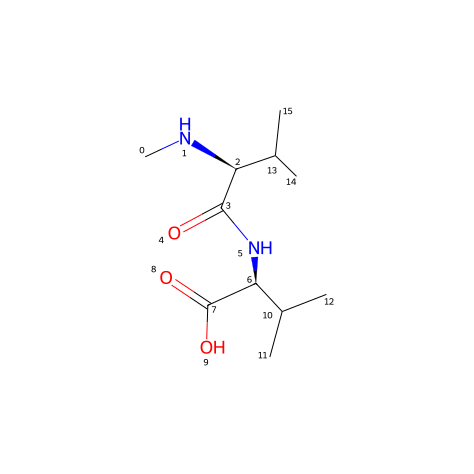 CN[C@H](C(=O)N[C@H](C(=O)O)C(C)C)C(C)C